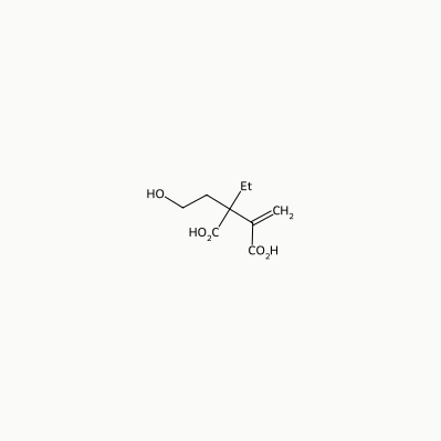 C=C(C(=O)O)C(CC)(CCO)C(=O)O